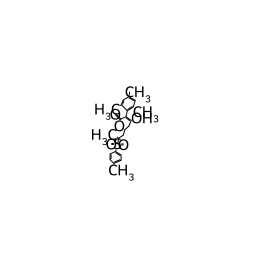 Cc1ccc(S(=O)(=O)C(C)CC2CC(O)=C(c3c(C)cc(C)cc3C)C(=O)O2)cc1